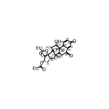 CCC(=O)OCC(=O)[C@]1(OC(=O)CC)[C@H](C)C[C@H]2[C@@H]3CC(=O)C4=CC(=O)C=C[C@]4(C)[C@@]3(Cl)[C@@H](O)C[C@@]21C